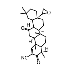 CC1(C)CC[C@]2(C3CO3)CC[C@]3(C)C(C(=O)C[C@@H]4[C@@]5(C)C=C(C#N)C(=O)C(C)(C)[C@@H]5CC[C@]43C)[C@H]2C1